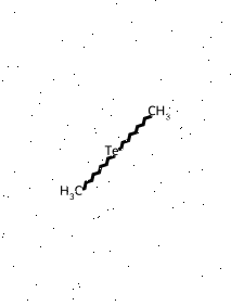 CCCCCCCCCC[Te]CCCCCCCCCC